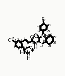 O=C(/C=C/c1cc(Cl)ccc1N1C=NNN1)N[C@@H](Cc1ccccc1)C(=O)Nc1ccc(F)cc1